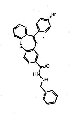 O=C(NNCc1ccccc1)c1ccc2c(c1)N=C(c1ccc(Br)cc1)c1ccccc1S2